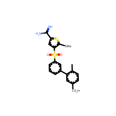 CSc1sc(C(=N)N)cc1S(=O)(=O)c1cccc(-c2cc(C(=O)O)ccc2C)c1